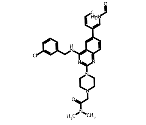 C/C=C\C(=C/NC=O)c1ccc2nc(N3CCN(CC(=O)N(C)C)CC3)nc(NCc3cccc(Cl)c3)c2c1